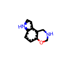 c1cc2c3c(ccc2[nH]1)OCNC3